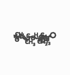 C=C(CCC1C2CCCCCCC21)NC(C)(C)C(=C)CCCOCC(C)CC(C)CCCCCC(=O)C1(C)CC1